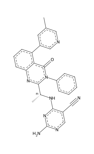 Cc1cncc(-c2cccc3nc([C@@H](C)Nc4nc(N)ncc4C#N)n(-c4ccccc4)c(=O)c23)c1